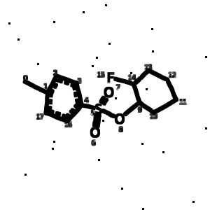 Cc1ccc(S(=O)(=O)OC2CCCCC2F)cc1